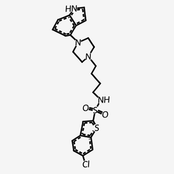 O=S(=O)(NCCCCN1CCN(c2cccc3[nH]ccc23)CC1)c1cc2ccc(Cl)cc2s1